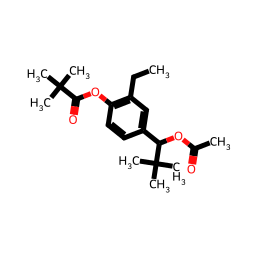 CCc1cc(C(OC(C)=O)C(C)(C)C)ccc1OC(=O)C(C)(C)C